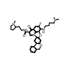 CN(C)CCCCNc1c(F)cc2c(=O)c(C(=O)NCCC3CCCN3C)cn3c2c1Oc1cc2c(cc1-3)-c1ccccc1CO2